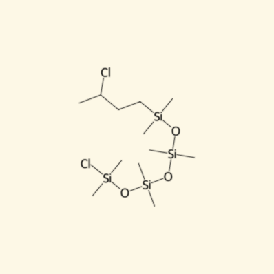 CC(Cl)CC[Si](C)(C)O[Si](C)(C)O[Si](C)(C)O[Si](C)(C)Cl